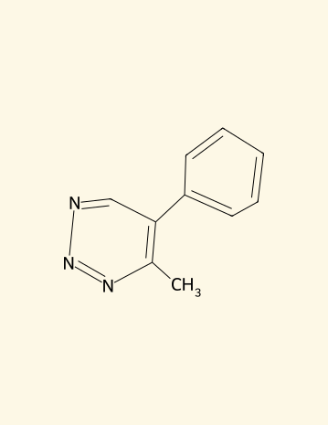 Cc1nnncc1-c1ccccc1